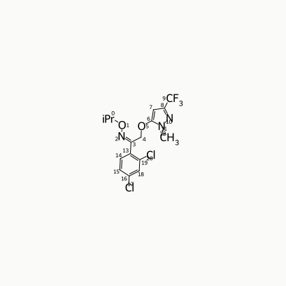 CC(C)ON=C(COc1cc(C(F)(F)F)nn1C)c1ccc(Cl)cc1Cl